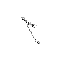 [N-]=[N+]=NCC(CCCCCCCCCBr)N=[N+]=[N-]